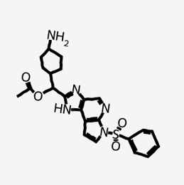 CC(=O)OC(c1nc2cnc3c(ccn3S(=O)(=O)c3ccccc3)c2[nH]1)C1CCC(N)CC1